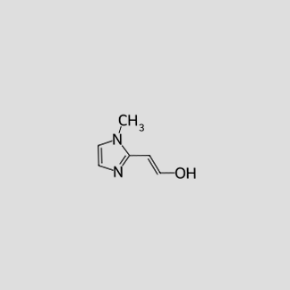 Cn1ccnc1C=CO